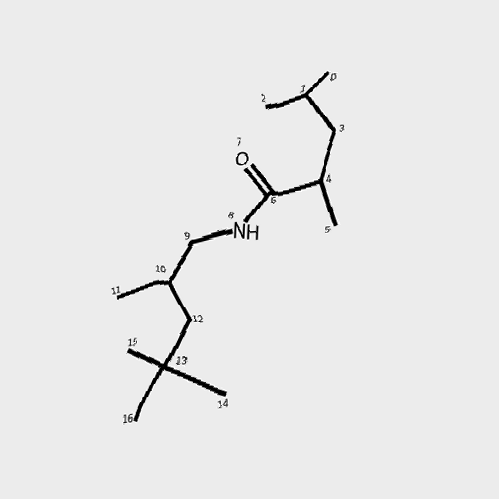 CC(C)CC(C)C(=O)NCC(C)CC(C)(C)C